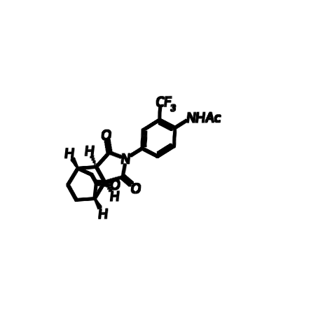 CC(=O)Nc1ccc(N2C(=O)[C@@H]3[C@H]4CC[C@H](C(=O)C4)[C@@H]3C2=O)cc1C(F)(F)F